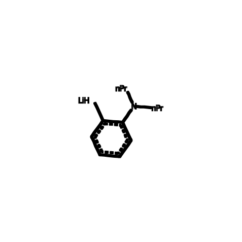 CCCN(CCC)c1ccccc1C.[LiH]